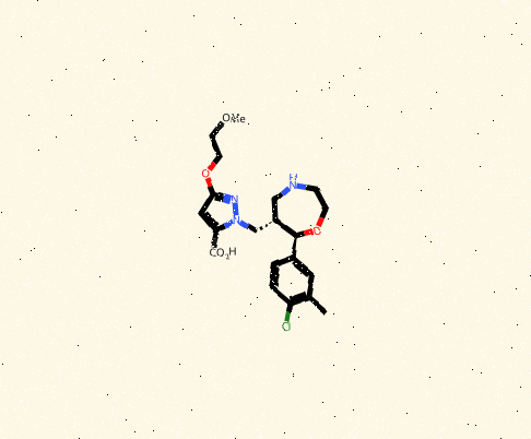 COCCOc1cc(C(=O)O)n(C[C@@H]2CNCCO[C@H]2c2ccc(Cl)c(C)c2)n1